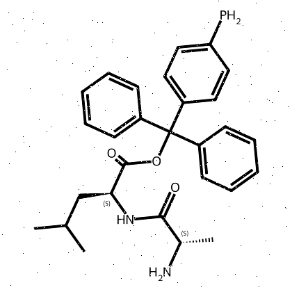 CC(C)C[C@H](NC(=O)[C@H](C)N)C(=O)OC(c1ccccc1)(c1ccccc1)c1ccc(P)cc1